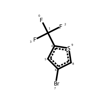 FC(F)(F)c1cc(Br)cs1